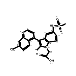 Cc1c(-c2ccnc3cc(Cl)ccc23)c2cc(NS(C)(=O)=O)ccc2n1CC(=O)O